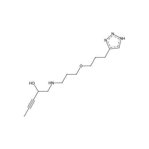 CC#CC(O)CNCCCOCCCc1c[nH]nn1